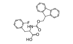 O=C(NC(Cc1ccccc1F)C(=O)O)OCC1c2ccccc2-c2ccccc21